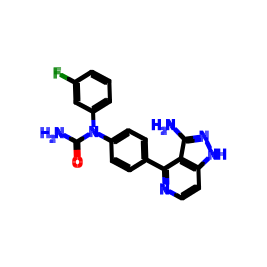 NC(=O)N(c1ccc(-c2nccc3[nH]nc(N)c23)cc1)c1cccc(F)c1